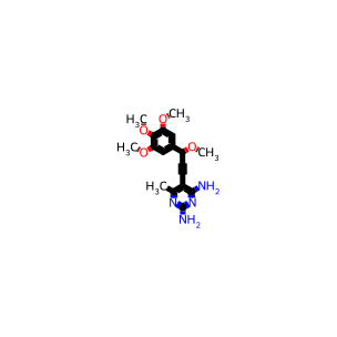 COc1cc(C(C#Cc2c(C)nc(N)nc2N)OC)cc(OC)c1OC